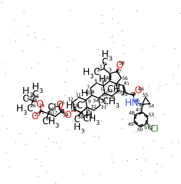 CC(C)C1=C2[C@H]3CC[C@@H]4[C@@]5(C)CC[C@H](OC(=O)CC(C)(C)C(=O)OC(C)(C)C)C(C)(C)[C@@H]5CC[C@@]4(C)[C@]3(C)CC[C@@]2(C=CC(=O)NC2(c3cccc(Cl)c3)CC2)CC1=O